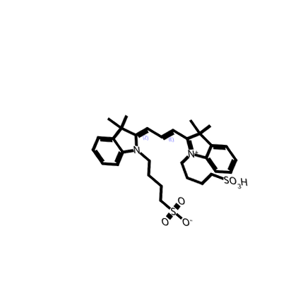 CC1(C)C(/C=C/C=C2\N(CCCCS(=O)(=O)[O-])c3ccccc3C2(C)C)=[N+](CCCCS(=O)(=O)O)c2ccccc21